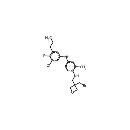 CCCc1cc(Nc2ccc(NCC3(CBr)COC3)c(C)c2)cc(Cl)c1F